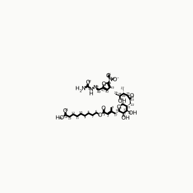 C/C(=C\C(=O)OCCCCCCCCC(=O)O)C[C@@H]1OC[C@H](C[C@@H]2O[C@H]2[C@@H](C)[C@H](C)O)[C@@H](O)[C@H]1O.NC(=O)N/N=C/c1ccc([N+](=O)[O-])o1